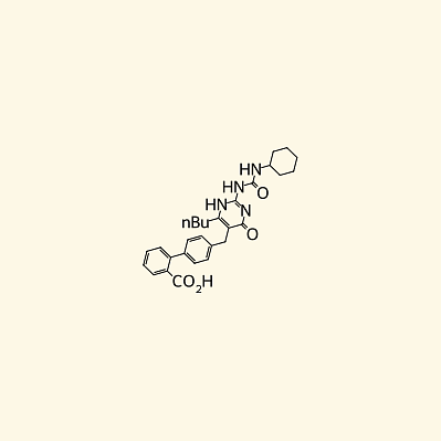 CCCCc1[nH]c(NC(=O)NC2CCCCC2)nc(=O)c1Cc1ccc(-c2ccccc2C(=O)O)cc1